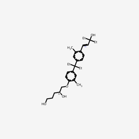 CCC(O)(/C=C/c1ccc(C(CC)(CC)c2ccc(OC[C@@H](O)CCCO)c(C)c2)cc1C)CC